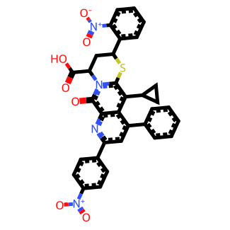 O=C(O)C1CC(c2ccccc2[N+](=O)[O-])Sc2c(C3CC3)c3c(-c4ccccc4)cc(-c4ccc([N+](=O)[O-])cc4)nc3c(=O)n21